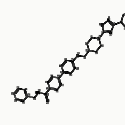 CC(C)c1noc(N2CCC(COc3ccc(-c4ccc(C(=O)NCc5ccccc5)cc4)cc3)CC2)n1